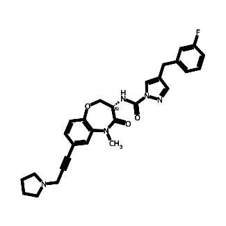 CN1C(=O)[C@@H](NC(=O)n2cc(Cc3cccc(F)c3)cn2)COc2ccc(C#CCN3CCCC3)cc21